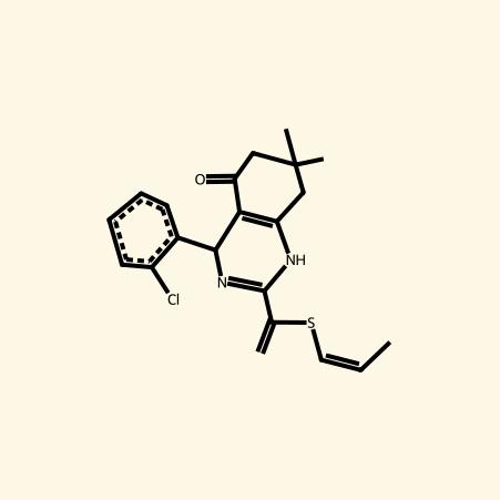 C=C(S/C=C\C)C1=NC(c2ccccc2Cl)C2=C(CC(C)(C)CC2=O)N1